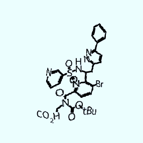 CC(C)(C)OC(=O)N(CC(=O)O)C(=O)c1ccc(Br)c(C(Cc2ccc(-c3ccccc3)nn2)NS(=O)(=O)c2cccnc2)n1